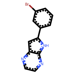 Brc1cccc(-c2cc3nccnc3[nH]2)c1